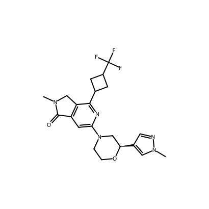 CN1Cc2c(cc(N3CCO[C@H](c4cnn(C)c4)C3)nc2C2CC(C(F)(F)F)C2)C1=O